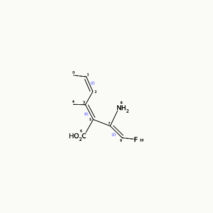 C\C=C/C(C)=C(C(=O)O)\C(N)=C\F